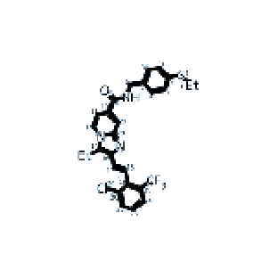 CCSc1ccc(CNC(=O)c2ccn3c(CC)c(/C=C/c4c(Cl)cccc4C(F)(F)F)nc3c2)cc1